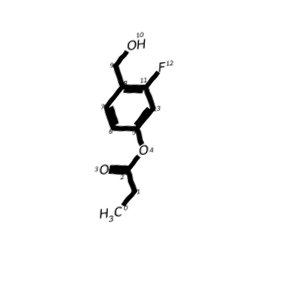 CCC(=O)Oc1ccc(CO)c(F)c1